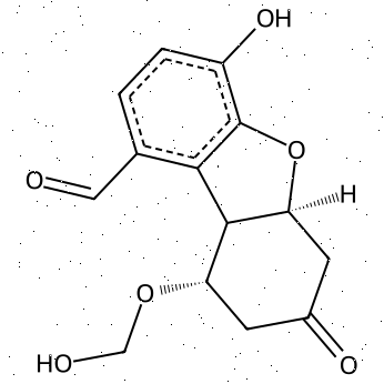 O=Cc1ccc(O)c2c1C1[C@@H](OCO)CC(=O)C[C@@H]1O2